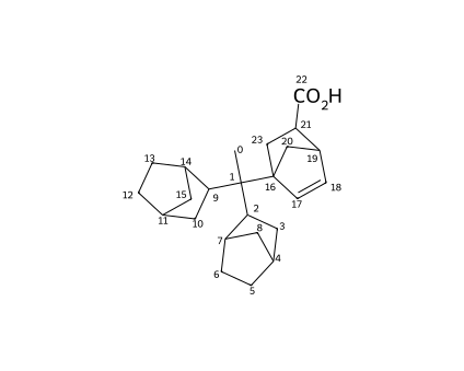 CC(C1CC2CCC1C2)(C1CC2CCC1C2)C12C=CC(C1)C(C(=O)O)C2